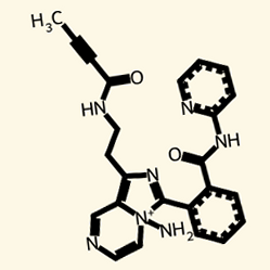 CC#CC(=O)NCCC1=C2C=NC=C[N+]2(N)C(c2ccccc2C(=O)Nc2ccccn2)=N1